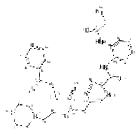 CC(C)(C)OC(=O)Nc1ccccc1NC(=O)c1ccc(CN(CCCN2CCOCC2)C(=O)NCC(=O)c2ccccc2)cn1